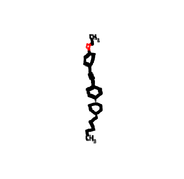 CCCCC[C@H]1CC[C@H](c2ccc(C#Cc3ccc(OCC)cc3)cc2)CC1